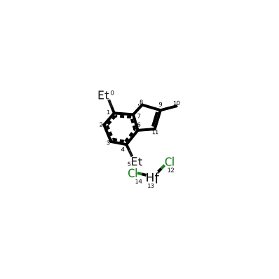 CCc1ccc(CC)c2c1[CH]C(C)=C2.[Cl][Hf][Cl]